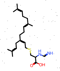 CC(C)=CCCC(C)=CCCC(=CCSCC(NC=N)C(=O)O)CC=C(C)C